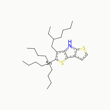 CCCCC(CC)Cc1[c]([Sn]([CH2]CCC)([CH2]CCC)[CH2]CCC)sc2c1[nH]c1sccc12